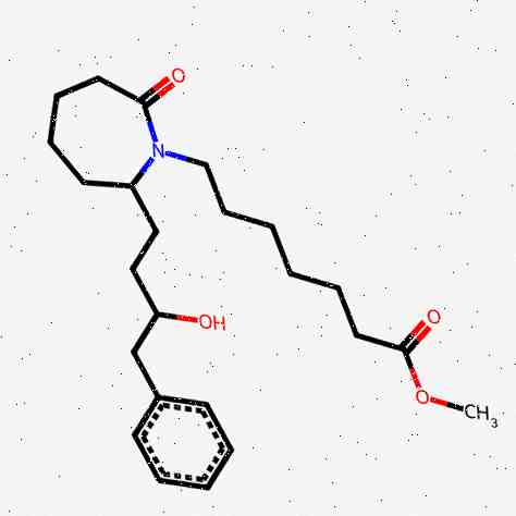 COC(=O)CCCCCCN1C(=O)CCCCC1CCC(O)Cc1ccccc1